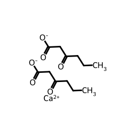 CCCC(=O)CC(=O)[O-].CCCC(=O)CC(=O)[O-].[Ca+2]